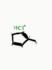 CC1=CCC=C1.Cl